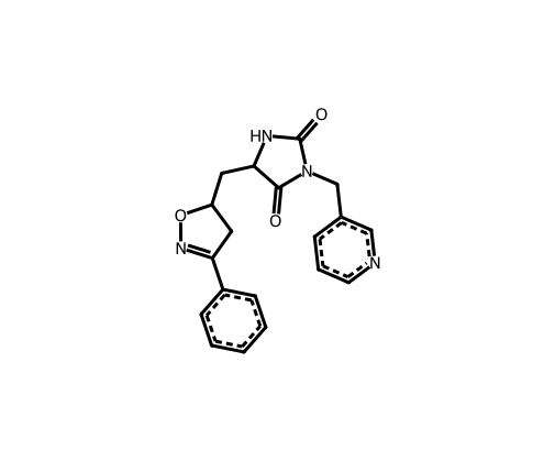 O=C1NC(CC2CC(c3ccccc3)=NO2)C(=O)N1Cc1cccnc1